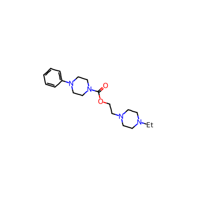 CCN1CCN(CCOC(=O)N2CCN(c3ccccc3)CC2)CC1